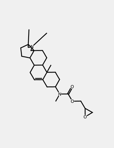 CC1C2CCC3C4CC=C5CC(N(C)C(=O)OCC6CO6)CCC5(C)C4CCC32CN1C